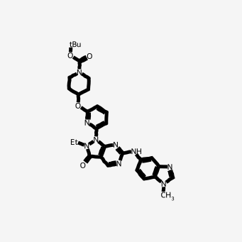 CCn1c(=O)c2cnc(Nc3ccc4c(c3)ncn4C)nc2n1-c1cccc(OC2CCN(C(=O)OC(C)(C)C)CC2)n1